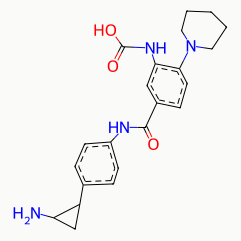 NC1CC1c1ccc(NC(=O)c2ccc(N3CCCCC3)c(NC(=O)O)c2)cc1